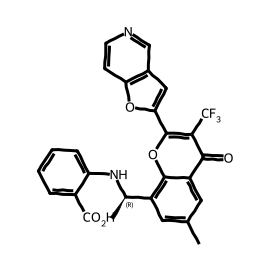 Cc1cc([C@@H](C)Nc2ccccc2C(=O)O)c2oc(-c3cc4cnccc4o3)c(C(F)(F)F)c(=O)c2c1